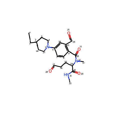 CCC1CCN(c2ccc(C(=O)N(C)C(CCC=O)C(=O)NC)c(C=O)c2)CC1